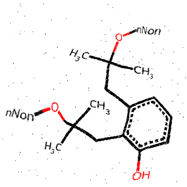 CCCCCCCCCOC(C)(C)Cc1cccc(O)c1CC(C)(C)OCCCCCCCCC